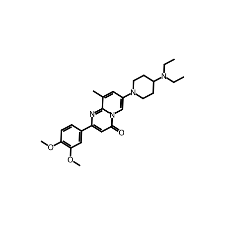 CCN(CC)C1CCN(c2cc(C)c3nc(-c4ccc(OC)c(OC)c4)cc(=O)n3c2)CC1